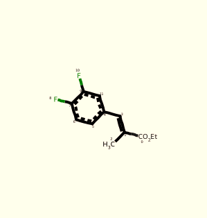 CCOC(=O)/C(C)=C/c1ccc(F)c(F)c1